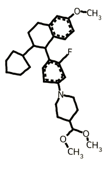 COc1ccc2c(c1)CCC(C1CCCCC1)C2c1ccc(N2CCC(C(OC)OC)CC2)cc1F